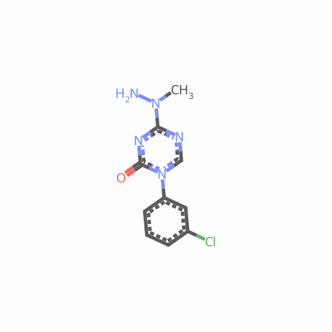 CN(N)c1ncn(-c2cccc(Cl)c2)c(=O)n1